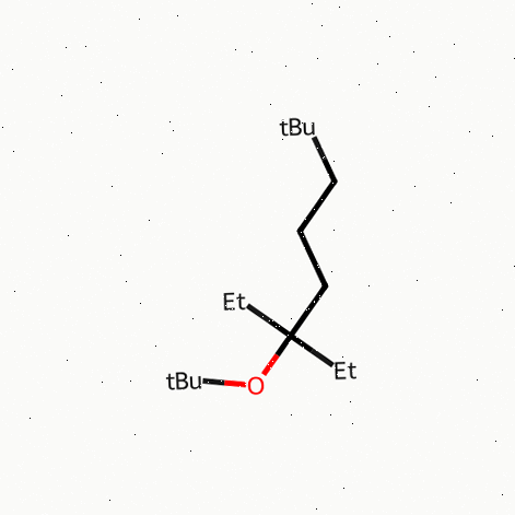 CCC(CC)(CCCC(C)(C)C)OC(C)(C)C